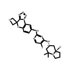 CC1(C)C[C@H](Nc2nc(Nc3ccc4c(c3)-n3nnnc3C3(COC3)O4)ncc2F)C[C@@H]2CCCN21